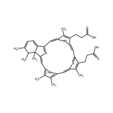 CC1=CC=C2c3cc4[nH]c(cc5nc(cc6[nH]c(cc(n3)C2(C)C1C)c(C)c6C)C(C)=C5CCC(=O)O)c(CCC(=O)O)c4C